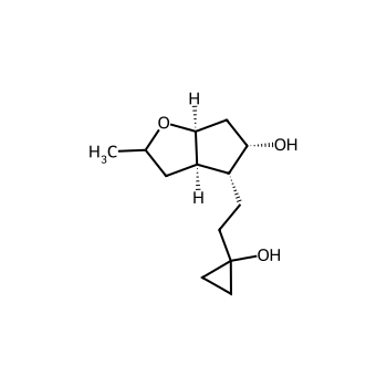 CC1C[C@@H]2[C@@H](CCC3(O)CC3)[C@@H](O)C[C@@H]2O1